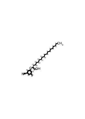 CCCCCCCCCCCCCCCCCC[C@@H](CO)Oc1cc(F)cc(C#N)c1